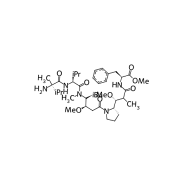 CC[C@H](C)C([C@@H](CC(=O)N1CCC[C@H]1[C@H](OC)C(C)C(=O)N[C@@H](Cc1ccccc1)C(=O)OC)OC)N(C)C(=O)[C@@H](NC(=O)[C@](C)(N)C(C)C)C(C)C